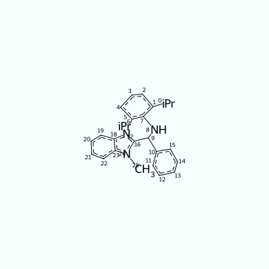 CC(C)c1cccc(C(C)C)c1NC(c1ccccc1)c1nc2ccccc2n1C